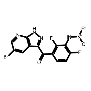 CC[S+]([O-])Nc1c(F)ccc(C(=O)c2n[nH]c3ncc(Br)cc23)c1F